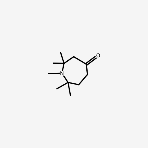 CN1C(C)(C)CCC(=O)CC1(C)C